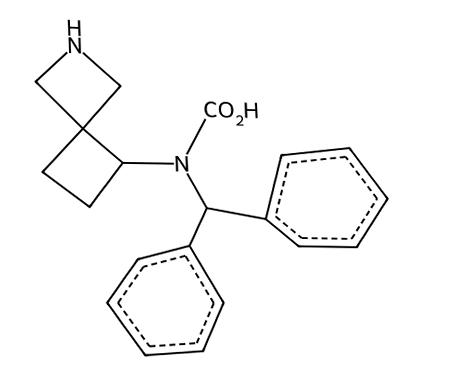 O=C(O)N(C(c1ccccc1)c1ccccc1)C1CCC12CNC2